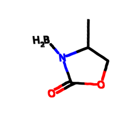 BN1C(=O)OCC1C